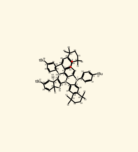 Cc1cc2c3c(c1)N(c1ccc(C(C)(C)C)cc1)c1cc4c(cc1B3C1=C([C@@H]3C=C(C(C)(C)C)C=CC3(C)S1)N2c1ccc(C(C)(C)C)cc1-c1ccc2c(c1)C(C)(C)CCC2(C)C)C(C)(C)CCC4(C)C